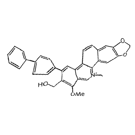 COc1c(CO)c(-c2ccc(-c3ccccc3)cc2)cc2c1c[n+](C)c1c3cc4c(cc3ccc21)OCO4